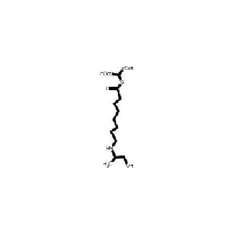 CCCCCCCCC(CCCCCCCC)OC(=O)CCCCCCCNC(C)CO